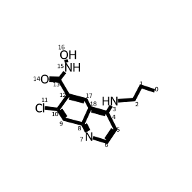 CCCNc1ccnc2cc(Cl)c(C(=O)NO)cc12